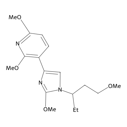 CCC(CCOC)n1cc(-c2ccc(OC)nc2OC)nc1OC